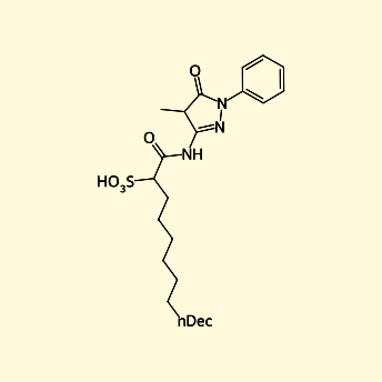 CCCCCCCCCCCCCCCCC(C(=O)NC1=NN(c2ccccc2)C(=O)C1C)S(=O)(=O)O